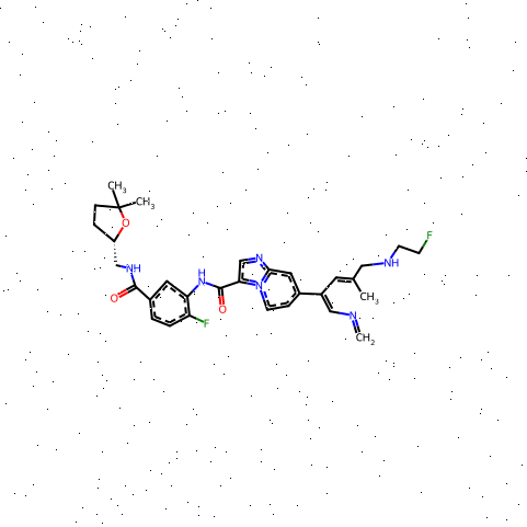 C=N/C=C(\C=C(/C)CNCCF)c1ccn2c(C(=O)Nc3cc(C(=O)NC[C@@H]4CCC(C)(C)O4)ccc3F)cnc2c1